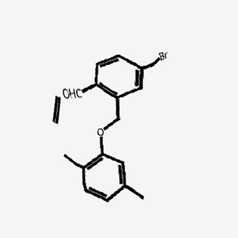 C=C.Cc1ccc(C)c(OCc2cc(Br)ccc2C=O)c1